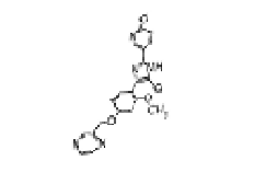 COc1cc(OCc2cnccn2)ccc1-c1nc(-c2ccc(Cl)nc2)[nH]c1Cl